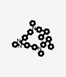 c1ccc(-c2ccccc2-c2ccc(N(c3ccccc3)c3ccc(-c4ccc(-c5nc6ccccc6nc5-c5ccc(-c6ccc(N(c7ccccc7)c7ccc(-c8ccccc8-c8ccccc8)cc7)cc6)cc5)cc4)cc3)cc2)cc1